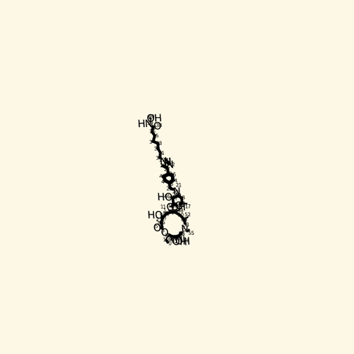 CC[C@H]1OC(=O)[C@H](C)[C@@H](O)[C@H](C)[C@@H](O[C@@H]2O[C@H](C)C[C@H](N(C)Cc3ccc(-c4cn(CCCCCCCC(=O)NO)nn4)cc3)[C@@H]2O)[C@](C)(O)C[C@@H](C)CN(C)[C@H](C)[C@@H](O)[C@]1(C)O